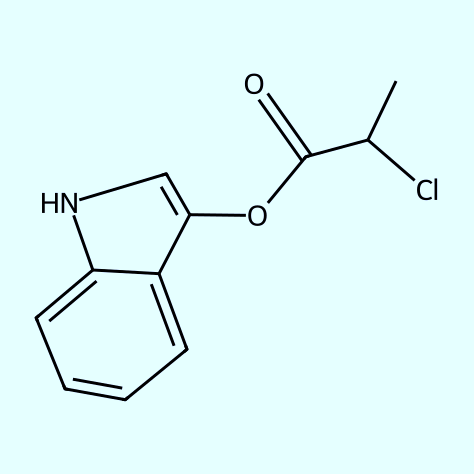 CC(Cl)C(=O)Oc1c[nH]c2ccccc12